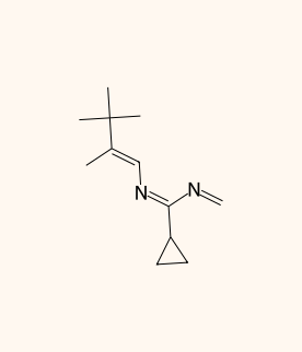 C=N/C(=N\C=C(/C)C(C)(C)C)C1CC1